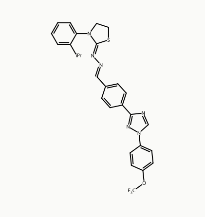 CC(C)c1ccccc1N1CCSC1=NN=Cc1ccc(-c2ncn(-c3ccc(OC(F)(F)F)cc3)n2)cc1